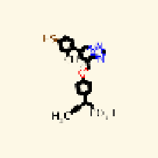 CC#CC(CC(=O)O)c1ccc(OCc2cc(-c3ccc(S)cc3C)cn3ncnc23)cc1